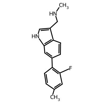 CNCc1c[nH]c2cc(-c3ccc(C)cc3F)ccc12